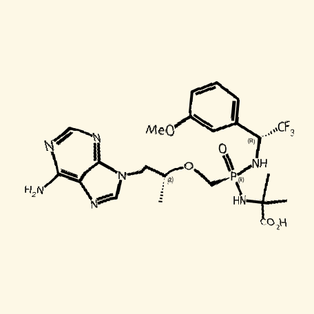 COc1cccc([C@@H](N[P@](=O)(CO[C@H](C)Cn2cnc3c(N)ncnc32)NC(C)(C)C(=O)O)C(F)(F)F)c1